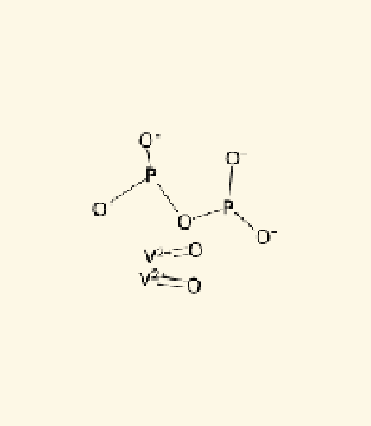 [O-]P([O-])OP([O-])[O-].[O]=[V+2].[O]=[V+2]